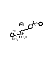 CCOC(=O)C(CCCCC1CCN(C(=O)OCc2ccccc2)CC1)N[C@@H](CSc1ccccc1N)C(=O)O.Cl.Cl